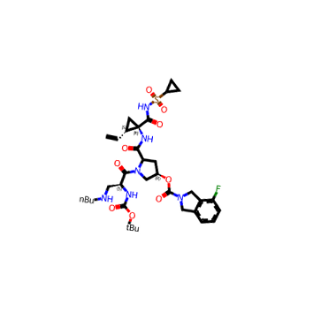 C=C[C@@H]1C[C@]1(NC(=O)C1C[C@@H](OC(=O)N2Cc3cccc(F)c3C2)CN1C(=O)[C@H](CNCCCC)NC(=O)OC(C)(C)C)C(=O)NS(=O)(=O)C1CC1